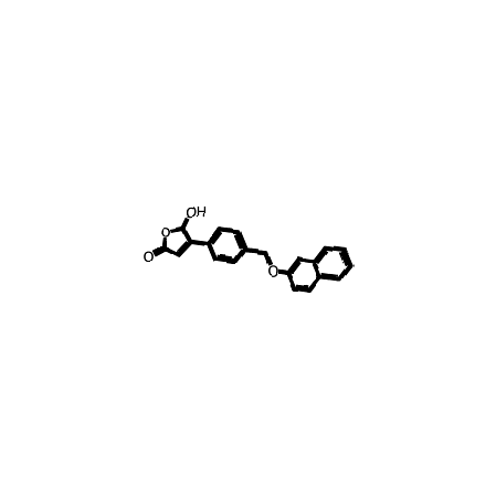 O=C1C=C(c2ccc(COc3ccc4ccccc4c3)cc2)C(O)O1